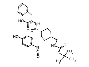 CC(C)(C)OC(=O)NC[C@H]1CC[C@H](C(=O)N[C@@H](Cc2ccccc2)C(=O)O)CC1.O=C=Nc1ccc(O)cc1